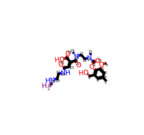 COc1cc(C)cc(CO)c1OC(=O)N(C)CCN(C)C(=O)C(=CC(=O)NCCNP)C(=O)O